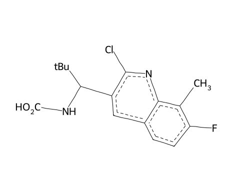 Cc1c(F)ccc2cc(C(NC(=O)O)C(C)(C)C)c(Cl)nc12